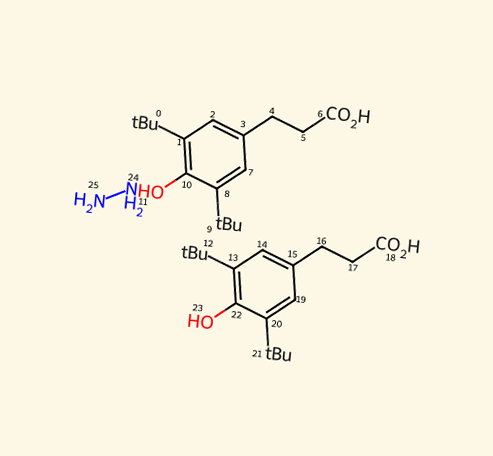 CC(C)(C)c1cc(CCC(=O)O)cc(C(C)(C)C)c1O.CC(C)(C)c1cc(CCC(=O)O)cc(C(C)(C)C)c1O.NN